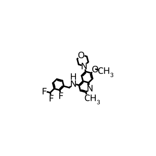 COc1cc2nc(C)cc(NCc3cccc(C(F)F)c3F)c2cc1N1CCOCC1